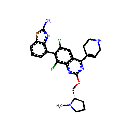 CN1CCC[C@H]1COc1nc(C2=CCNCC2)c2cc(Cl)c(-c3cccc4sc(N)nc34)c(F)c2n1